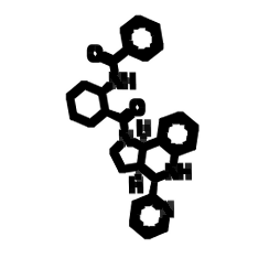 O=C(N[C@@H]1CCCC[C@@H]1C(=O)N1CC[C@@H]2[C@H](c3ccccn3)Nc3ccccc3[C@@H]21)c1ccccc1